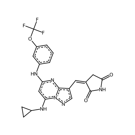 O=C1CC(=Cc2cnn3c(NC4CC4)cc(Nc4cccc(OC(F)(F)F)c4)nc23)C(=O)N1